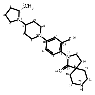 C[C@H]1CCCN1C1CCN(c2ccc(N3CCC4(CCNCC4)C3=O)c(F)c2)CC1